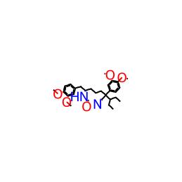 CCC(CC)C(C#N)(CCCC(Cc1ccc(OC)c(OC)c1)NC=O)c1ccc(OC)c(OC)c1